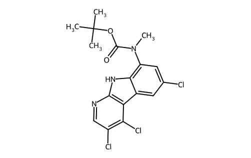 CN(C(=O)OC(C)(C)C)c1cc(Cl)cc2c1[nH]c1ncc(Cl)c(Cl)c12